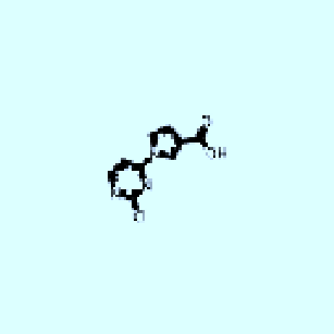 O=C(O)c1ccn(-c2ccnc(Cl)n2)c1